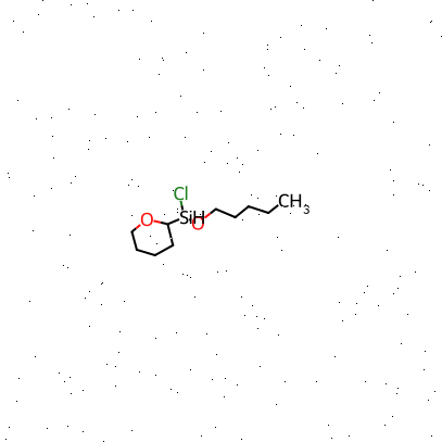 CCCCCO[SiH](Cl)C1CCCCO1